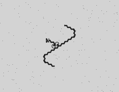 CCCCC/C=C\C/C=C\CCCCCCCCC(CCCCCCC/C=C\C/C=C\CCCCC)OC(=O)CCCN(C)C